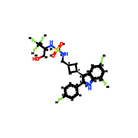 O=S(=O)(NC[C@H]1C[C@H](c2c(-c3ccc(F)cc3)[nH]c3c(F)cc(F)cc32)C1)NC(CO)C(F)(F)F